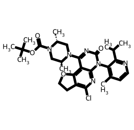 Cc1ccnc(C(C)C)c1-n1c(=O)nc(N2C[C@@H](C)N(C(=O)OC(C)(C)C)C[C@@H]2C)c2c3c(c(Cl)nc21)CCO3